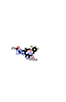 COc1ncc(-c2ccc3nc(NC(=O)C(C)C)cn3n2)cc1C(=O)NCc1cc(F)cc(F)c1OCC1CC1